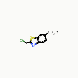 CCOC(=O)c1ccc2nc(CCl)sc2c1